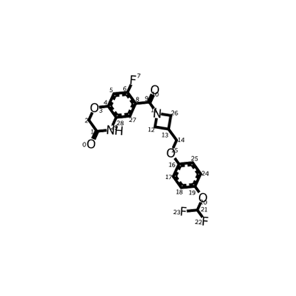 O=C1COc2cc(F)c(C(=O)N3CC(COc4ccc(OC(F)F)cc4)C3)cc2N1